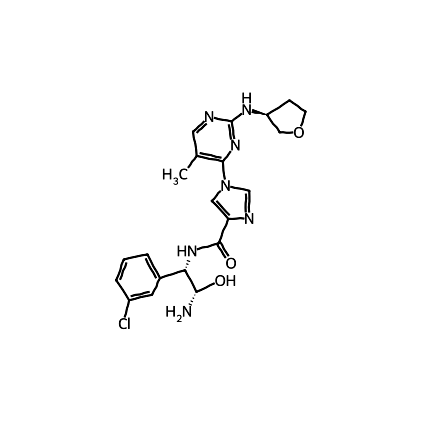 Cc1cnc(N[C@H]2CCOC2)nc1-n1cnc(C(=O)N[C@@H](c2cccc(Cl)c2)[C@@H](N)O)c1